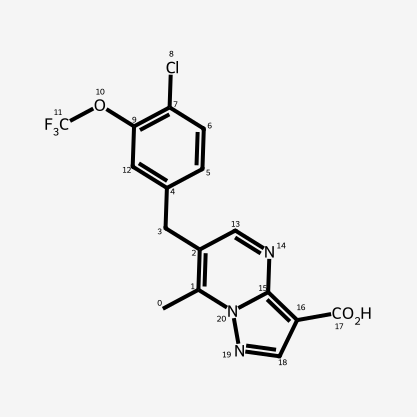 Cc1c(Cc2ccc(Cl)c(OC(F)(F)F)c2)cnc2c(C(=O)O)cnn12